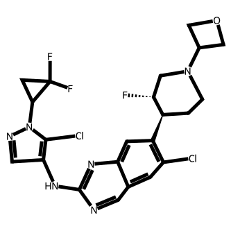 F[C@@H]1CN(C2COC2)CC[C@H]1c1cc2nc(Nc3cnn(C4CC4(F)F)c3Cl)ncc2cc1Cl